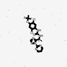 C[C@H](NC(=O)Nc1cc(Cl)c(OC(C)(F)F)cc1Cl)c1ncnn1-c1ncccn1